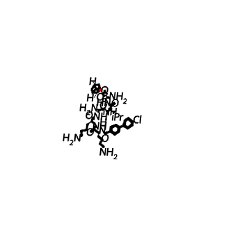 CC(C)C[C@H](NC(=O)[C@H](N)NC(=O)[C@H](CCCCN)NC(=O)[C@H](CCCCN)NC(=O)c1ccc(-c2ccc(Cl)cc2)cc1)C(=O)N[C@@H](N)B1OC2C[C@@H]3C[C@@H](C3(C)C)[C@]2(C)O1